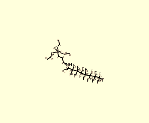 CCO[Si](CCCNC(=O)C(F)(F)C(F)(F)C(F)(F)C(F)(F)C(F)(F)C(F)(F)C(F)(F)F)(OCC)OCC